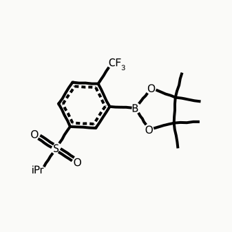 CC(C)S(=O)(=O)c1ccc(C(F)(F)F)c(B2OC(C)(C)C(C)(C)O2)c1